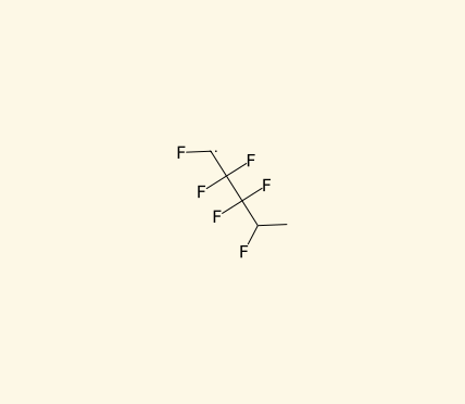 CC(F)C(F)(F)C(F)(F)[CH]F